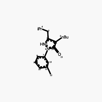 CCCCc1c(CC(C)C)[nH]n(-c2cccc(C)c2)c1=O